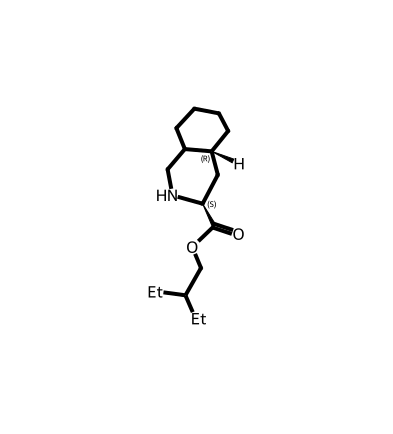 CCC(CC)COC(=O)[C@@H]1C[C@H]2CCCCC2CN1